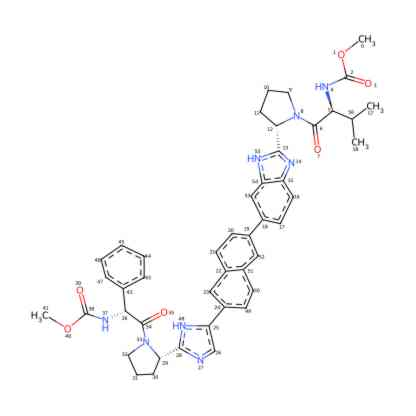 COC(=O)N[C@H](C(=O)N1CCC[C@H]1c1nc2ccc(-c3ccc4cc(-c5cnc([C@@H]6CCCN6C(=O)[C@H](NC(=O)OC)c6ccccc6)[nH]5)ccc4c3)cc2[nH]1)C(C)C